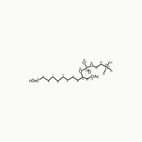 CCCCCCCCCCCCCCCCCCC(COC(C)=O)OP(=O)([O-])OCC[N+](C)(C)C